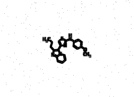 CCCc1nc2ccccn2c1-c1csc(Nc2ccc(OC)cc2)n1